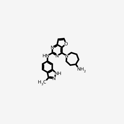 Cc1n[nH]c2cc(Nc3nc(N4CCCC(N)CC4)c4occc4n3)ccc12